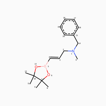 CN(C/C=C/B1OC(C)(C)C(C)(C)O1)Cc1ccccc1